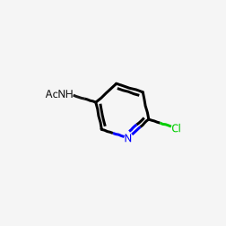 [CH2]C(=O)Nc1ccc(Cl)nc1